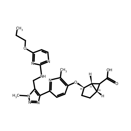 CCCOc1ccnc(NCc2c(-c3ccc(O[C@@H]4CC[C@H]5C(C(=O)O)[C@@H]45)c(C)n3)nnn2C)n1